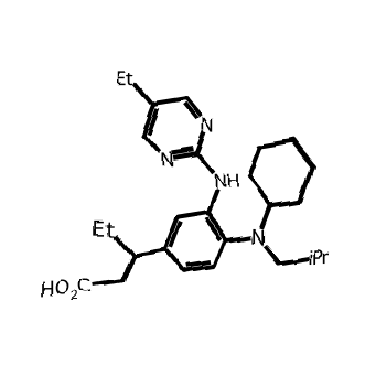 CCc1cnc(Nc2cc(C(CC)CC(=O)O)ccc2N(CC(C)C)C2CCCCC2)nc1